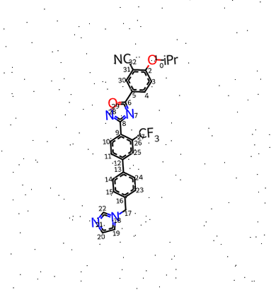 CC(C)Oc1ccc(-c2nc(-c3ccc(-c4ccc(Cn5ccnc5)cc4)cc3C(F)(F)F)no2)cc1C#N